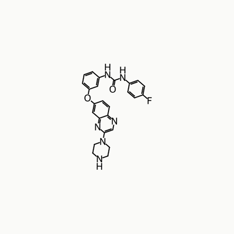 O=C(Nc1ccc(F)cc1)Nc1cccc(Oc2ccc3ncc(N4CCNCC4)nc3c2)c1